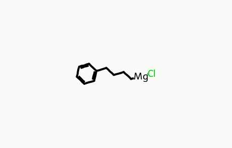 [Cl][Mg][CH2]CCCc1ccccc1